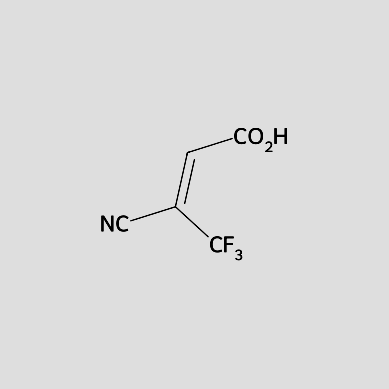 N#CC(=CC(=O)O)C(F)(F)F